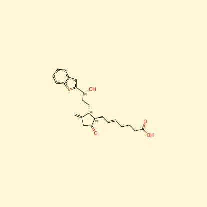 C=C1CC(=O)[C@H](CC=CCCCC(=O)O)[C@H]1CC[C@@H](O)c1cc2ccccc2s1